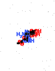 CCOC(=O)CNC(=O)c1c[nH]nc1-c1nc(N)c2ncn([C@@H]3O[C@H](CO)[C@@H](O)[C@H]3O)c2n1